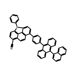 N#Cc1ccc2c3c1ccc1c(-c4ccc(-c5c6ccccc6c(-c6cccc7ccccc67)c6ccccc56)cc4)ccc(c13)n2-c1ccccc1